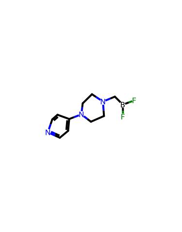 FB(F)CN1CCN(c2ccncc2)CC1